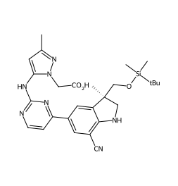 Cc1cc(Nc2nccc(-c3cc(C#N)c4c(c3)[C@@](C)(CO[Si](C)(C)C(C)(C)C)CN4)n2)n(CC(=O)O)n1